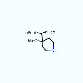 CCCCCCC(CCCCC)C1(OC)CCNCC1